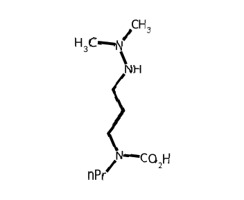 CCCN(CCCNN(C)C)C(=O)O